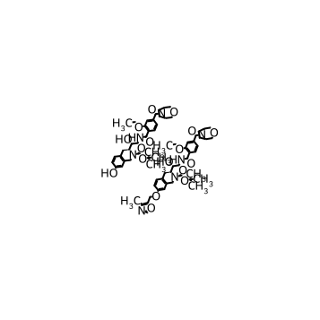 CCOc1cc(C(=O)N2C3CCC2COC3)ccc1C(=O)NC[C@@H](O)[C@@H]1Cc2ccc(O)cc2CN1C(=O)OC(C)(C)C.CCOc1cc(C(=O)N2C3CCC2COC3)ccc1C(=O)NC[C@@H](O)[C@@H]1Cc2ccc(OCc3ocnc3C)cc2CN1C(=O)OC(C)(C)C